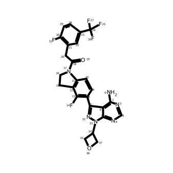 Nc1ncnc2c1c(-c1ccc3c(c1F)CCN3C(=O)Cc1cc(C(F)(F)F)ccc1F)nn2C1COC1